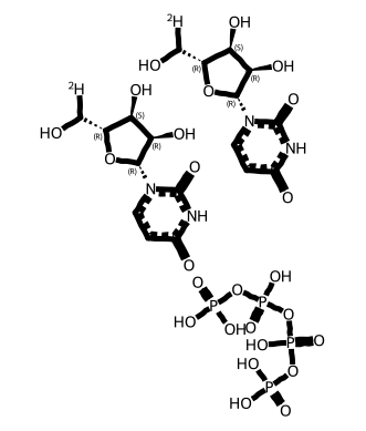 O=P(O)(O)OP(=O)(O)OP(=O)(O)OP(=O)(O)O.[2H]C(O)[C@H]1O[C@@H](n2ccc(=O)[nH]c2=O)[C@H](O)[C@@H]1O.[2H]C(O)[C@H]1O[C@@H](n2ccc(=O)[nH]c2=O)[C@H](O)[C@@H]1O